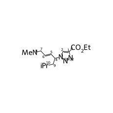 CCOC(=O)c1cn(C(C=CCNC)CC(C)C)nn1